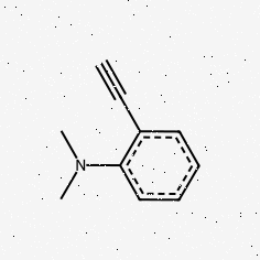 C#Cc1ccccc1N(C)C